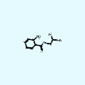 CCCCC(CC)COC(=O)C1C=CC=CC1N=O